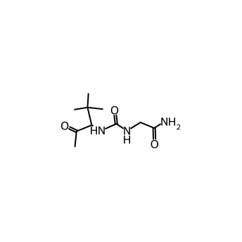 CC(=O)C(NC(=O)NCC(N)=O)C(C)(C)C